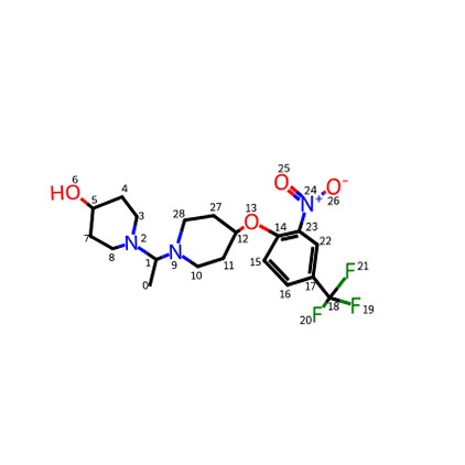 CC(N1CCC(O)CC1)N1CCC(Oc2ccc(C(F)(F)F)cc2[N+](=O)[O-])CC1